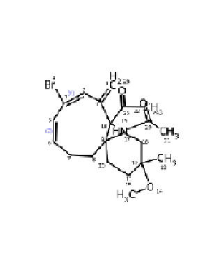 C=C1/C=C(Br)\C=C/CCC2(CCC(C)(OC)CC2)C1(NC(C)=O)C(C)=O